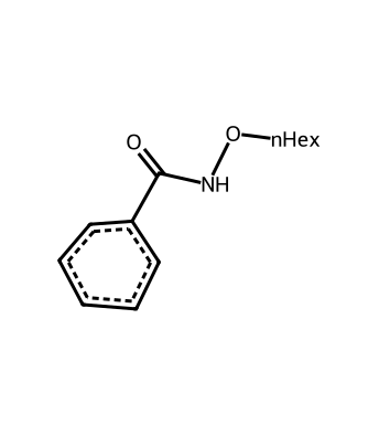 CCCCCCONC(=O)c1ccccc1